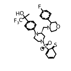 CC(O)(c1ccc(N2CCN(S(=O)(=O)C3=CC=CCC3=S)C[C@@H]2CN2CCOCC2c2ccc(F)cc2)cc1)C(F)(F)F